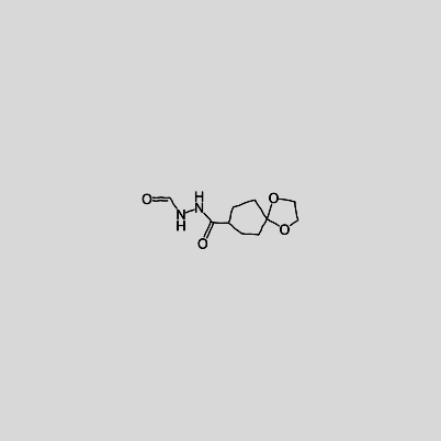 O=CNNC(=O)C1CCC2(CC1)OCCO2